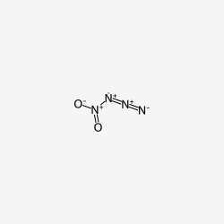 [N-]=[N+]=[N+][N+](=O)[O-]